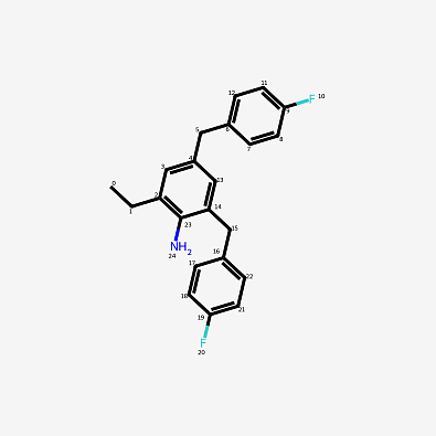 CCc1cc(Cc2ccc(F)cc2)cc(Cc2ccc(F)cc2)c1N